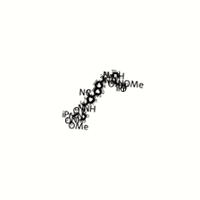 COC(=O)N[C@H](C(=O)N1CCC[C@H]1c1ncc(-c2ccc(-c3ccc4cc(-c5cnc([C@@H]6CCCN6C(=O)[C@@H](NC(=O)OC)C(C)C)[nH]5)ccc4c3)c(C#N)c2)[nH]1)C(C)C